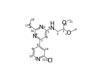 COC(CNc1cc(-c2ccnc(Cl)c2)nc(SC)n1)OC